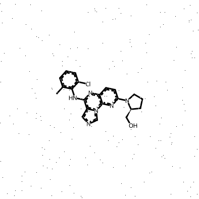 Cc1cccc(Cl)c1Nc1nc2ccc(N3CCC[C@H]3CO)nc2n2cncc12